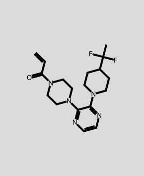 C=CC(=O)N1CCN(c2nccnc2N2CCC(C(C)(F)F)CC2)CC1